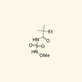 CCC(C)(C)C(=O)NS(=O)(=O)NOC